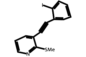 CSc1ncccc1C#Cc1ccccc1I